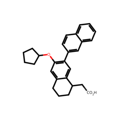 O=C(O)CC1CCCc2cc(OC3CCCC3)c(-c3ccc4ccccc4c3)cc21